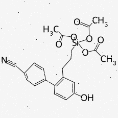 CC(=O)O[Si](CCCc1cc(O)ccc1-c1ccc(C#N)cc1)(OC(C)=O)OC(C)=O